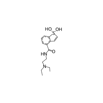 CCN(CC)CCNC(=O)c1cccc2c1C=CS2(O)O